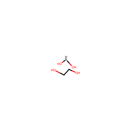 OBO.OCCO